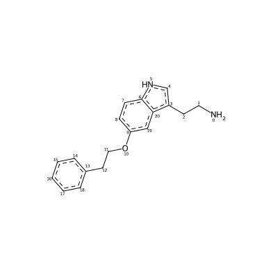 NCCc1c[nH]c2ccc(OCCc3ccccc3)cc12